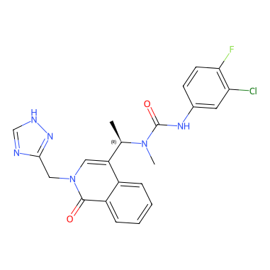 C[C@H](c1cn(Cc2nc[nH]n2)c(=O)c2ccccc12)N(C)C(=O)Nc1ccc(F)c(Cl)c1